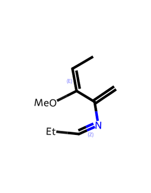 C=C(/N=C\CC)/C(=C\C)OC